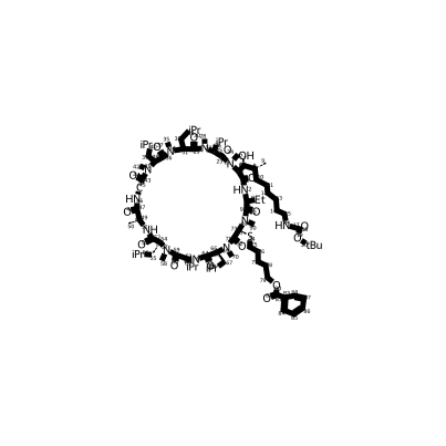 CCC1NC(=O)C([C@H](O)[C@H](C)CCCCCCNC(=O)OC(C)(C)C)N(C)C(=O)C(C(C)C)N(C)C(=O)C(CC(C)C)N(C)C(=O)C(CC(C)C)N(C)C(=O)CNC(=O)[C@@H](C)NC(=O)[C@@H](CC(C)C)N(C)C(=O)[C@@H](C(C)C)NC(=O)[C@H](CC(C)C)N(C)C(=O)[C@@H](SCCCCCOC(=O)c2ccccc2)N(C)C1=O